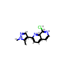 Cc1c(-c2ccc3ccnc(Cl)c3n2)cnn1C